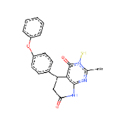 CCCc1nc2c(c(=O)n1S)C(c1ccc(Oc3ccccc3)cc1)CC(=O)N2